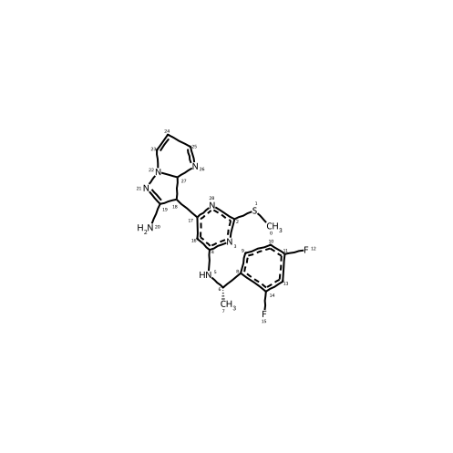 CSc1nc(N[C@@H](C)c2ccc(F)cc2F)cc(C2C(N)=NN3C=CC=NC23)n1